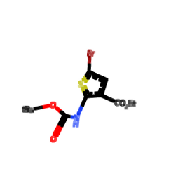 CCOC(=O)c1cc(Br)sc1NC(=O)OC(C)(C)C